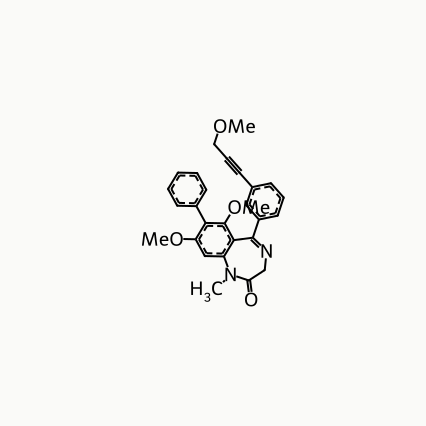 COCC#Cc1cccc(C2=NCC(=O)N(C)c3cc(OC)c(-c4ccccc4)c(OC)c32)c1